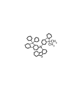 CC1(C)c2ccccc2-c2ccc(N(c3ccc4c(c3)C(c3ccccc3)(c3ccccc3)c3ccccc3-4)c3cccc4sc5ccccc5c34)cc21